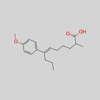 CCCC(=CCCCC(C)C(=O)O)c1ccc(OC)cc1